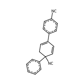 [C-]#[N+]c1ccc(C2=CCC([N+]#[C-])(c3ccccc3)C=C2)cc1